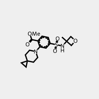 COC(=O)c1ccc(S(=O)(=O)NC2(C)COC2)cc1N1CCC2(CC1)CC2